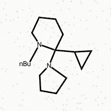 CCCCN1CCCCC1(C1CC1)N1CCCC1